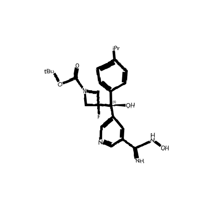 CC(C)c1ccc([C@](O)(c2cncc(C(=N)NO)c2)C2(F)CN(C(=O)OC(C)(C)C)C2)cc1